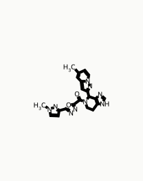 Cc1ccn2nc(C3c4nc[nH]c4CCN3C(=O)c3nnc(-c4ccn(C)n4)o3)cc2c1